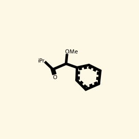 COC(C(=O)C(C)C)c1ccccc1